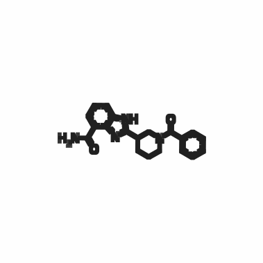 NC(=O)c1cccc2[nH]c(C3CCCN(C(=O)c4ccccc4)C3)nc12